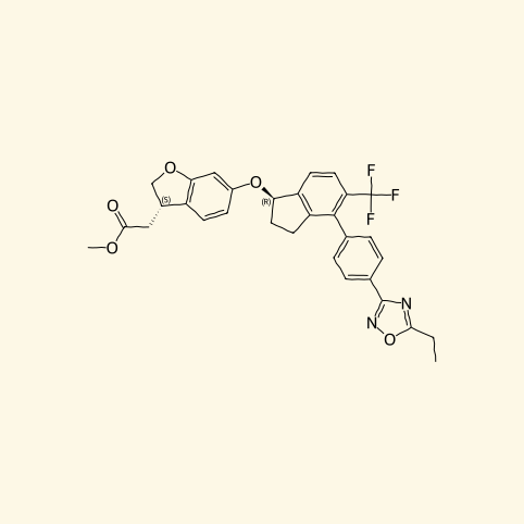 CCc1nc(-c2ccc(-c3c(C(F)(F)F)ccc4c3CC[C@H]4Oc3ccc4c(c3)OC[C@H]4CC(=O)OC)cc2)no1